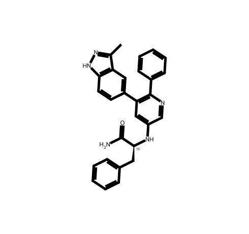 Cc1n[nH]c2ccc(-c3cc(N[C@@H](Cc4ccccc4)C(N)=O)cnc3-c3ccccc3)cc12